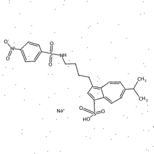 CC(C)c1ccc2c(CCCCNS(=O)(=O)c3ccc([N+](=O)[O-])cc3)cc(S(=O)(=O)O)c-2cc1.[Na+]